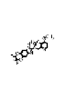 COc1ccnc(C[S+]([O-])c2nc3cc4c(cc3[nH]2)OC(F)C(F)(F)O4)c1C